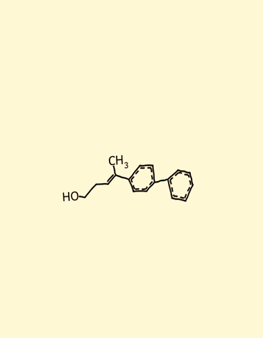 CC(=CCCO)c1ccc(-c2ccccc2)cc1